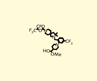 COC(O)C1CCN(c2cc(C(F)(F)F)ccc2CN2CC3(CCN(C(=O)OC(C(F)(F)F)C(F)(F)F)CC3)CC2(C)C)CC1